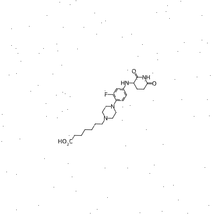 O=C(O)CCCCCCN1CCN(c2ccc(NC3CCC(=O)NC3=O)cc2F)CC1